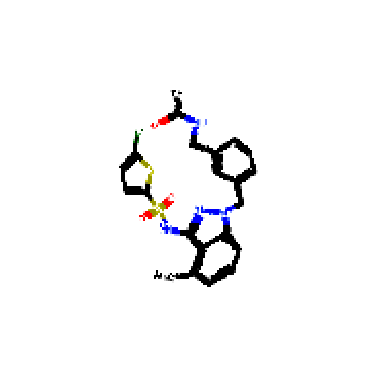 CCC(=O)NCc1cccc(Cn2nc(NS(=O)(=O)c3ccc(Cl)s3)c3c(OC)cccc32)c1